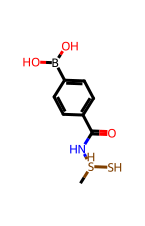 C[SH](S)NC(=O)c1ccc(B(O)O)cc1